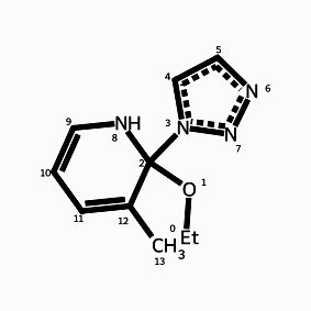 CCOC1(n2ccnn2)NC=CC=C1C